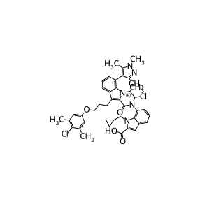 Cc1cc(OCCCc2c3n(c4c(-c5c(C)nn(C)c5C)cccc24)[C@H](C)C(Cl)N(c2cccc4cc(C(=O)O)n(CC5CC5)c24)C3=O)cc(C)c1Cl